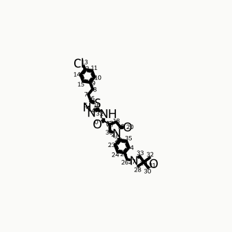 O=C(Nc1nnc(CCc2ccc(Cl)cc2)s1)[C@H]1CC(=O)N(c2ccc(CN3CC4(COC4)C3)cc2)C1